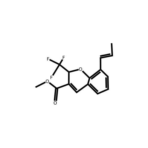 CC=Cc1cccc2c1OC(C(F)(F)F)C(C(=O)OC)=C2